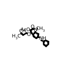 CC(=O)Oc1c(OCC=C(C)C)c2ccc(NCc3ccccc3)cc2n(C)c1=O